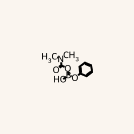 CN(C)C(=O)OB(O)Oc1ccccc1